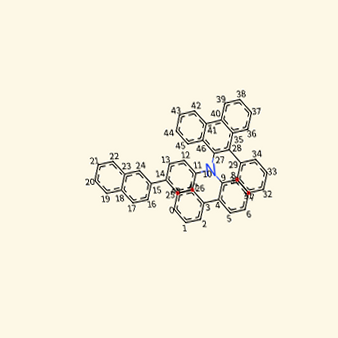 c1ccc(-c2ccccc2N(c2ccc(-c3ccc4ccccc4c3)cc2)c2c(-c3ccccc3)c3ccccc3c3ccccc23)cc1